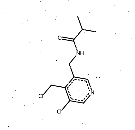 CC(C)C(=O)NCc1cncc(Cl)c1CCl